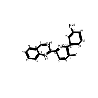 Cc1ccc(-c2ncc3ccccc3n2)nc1-c1cccc(F)c1